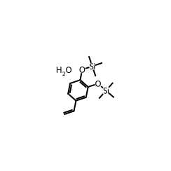 C=Cc1ccc(O[Si](C)(C)C)c(O[Si](C)(C)C)c1.O